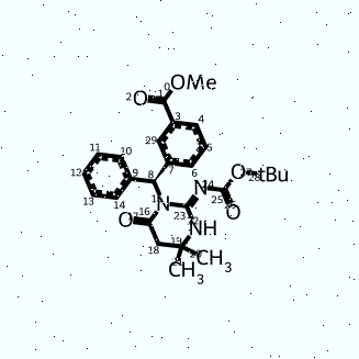 COC(=O)c1cccc([C@H](c2ccccc2)N2C(=O)CC(C)(C)NC2=NC(=O)OC(C)(C)C)c1